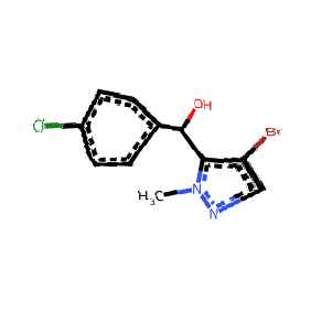 Cn1ncc(Br)c1C(O)c1ccc(Cl)cc1